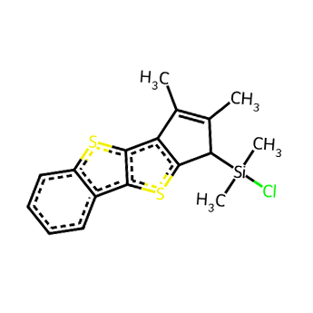 CC1=C(C)C([Si](C)(C)Cl)c2sc3c(sc4ccccc43)c21